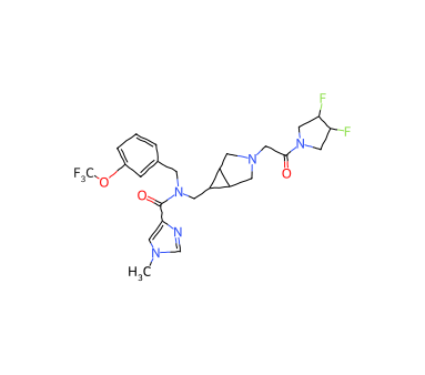 Cn1cnc(C(=O)N(Cc2cccc(OC(F)(F)F)c2)CC2C3CN(CC(=O)N4CC(F)C(F)C4)CC32)c1